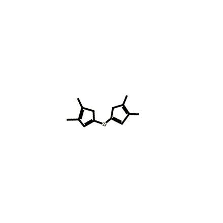 CC1=C(C)C[C]([Zr][C]2=CC(C)=C(C)C2)=C1